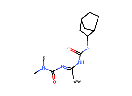 CSC(=NC(=O)N(C)C)NC(=O)NC1CC2CCC1C2